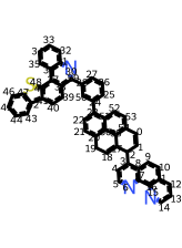 C1=CC(c2ccnc3c2ccc2cccnc23)C2=CCc3ccc(-c4cccc(-c5nc6ccccc6c6c5ccc5c7ccccc7sc56)c4)c4ccc1c2c34